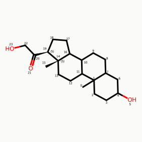 CC12CCC(O)CC1CCC1C2CC[C@@]2(C)C1CC[C@@H]2C(=O)CO